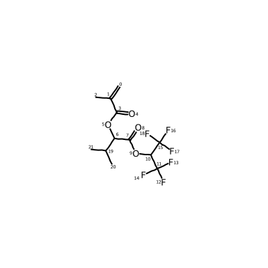 C=C(C)C(=O)OC(C(=O)OC(C(F)(F)F)C(F)(F)F)C(C)C